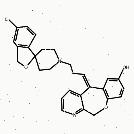 Oc1ccc2c(c1)/C(=C/CCN1CCC3(CC1)OCc1cc(Cl)ccc13)c1cccnc1CO2